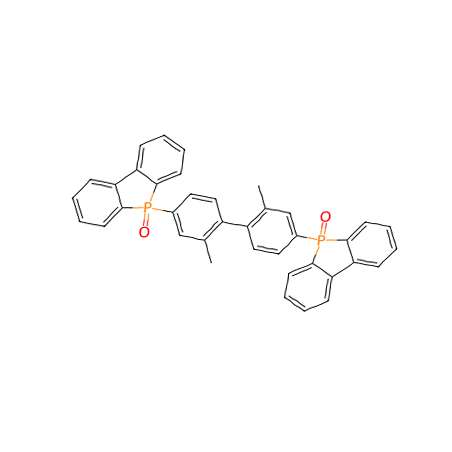 Cc1cc(P2(=O)c3ccccc3-c3ccccc32)ccc1-c1ccc(P2(=O)c3ccccc3-c3ccccc32)cc1C